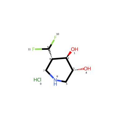 Cl.O[C@H]1[C@H](O)CNC[C@@H]1C(F)F